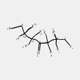 O=C(C(F)(F)C(F)(F)CF)C(F)(F)C(F)(F)CF